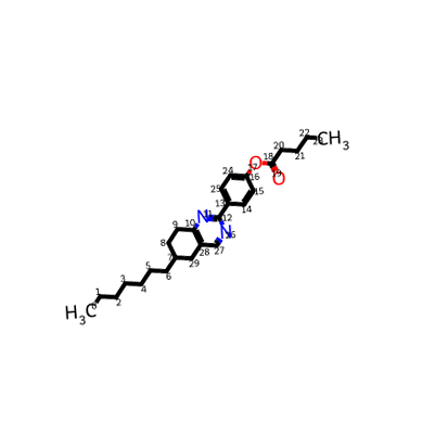 CCCCCCCC1CCc2nc(-c3ccc(OC(=O)CCCC)cc3)ncc2C1